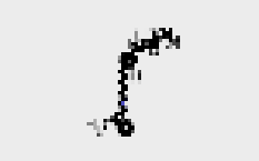 CCCCC(C)(C)C(=O)NCCc1ccc(CNCCC/C=C/Cn2cc(C)c3cc(F)ccc32)cc1